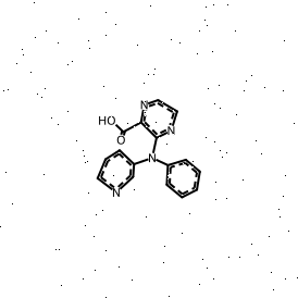 O=C(O)c1nccnc1N(c1ccccc1)c1cccnc1